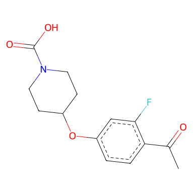 CC(=O)c1ccc(OC2CCN(C(=O)O)CC2)cc1F